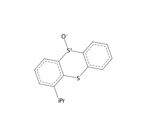 CC(C)c1cccc2c1Sc1ccccc1[S+]2[O-]